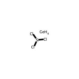 Cl[Si](Cl)Cl.[GeH4]